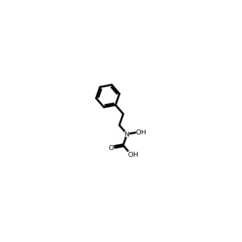 O=C(O)N(O)CCc1ccccc1